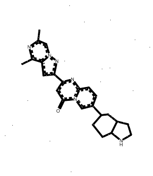 Cc1cn2nc(-c3cc(=O)n4cc(C5CCC6NCCC6C5)ccc4n3)cc2c(C)n1